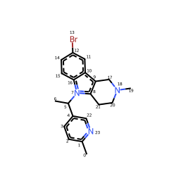 Cc1ccc(C(C)n2c3c(c4cc(Br)ccc42)CN(C)CC3)cn1